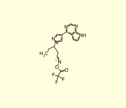 CCC(C/C=N/OC(=O)C(F)(F)F)n1cc(-c2ncnc3[nH]ccc23)cn1